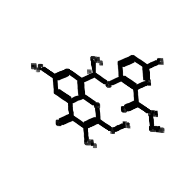 CCSc1oc2c([C@@H](C)Oc3ccc(Cl)nc3C(=O)NOC)cc(C)cc2c(=O)c1C